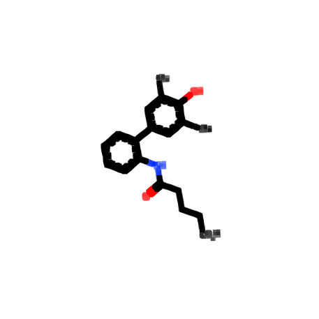 CC(C)(C)c1cc(-c2ccccc2NC(=O)CCCC(=O)O)cc(C(C)(C)C)c1O